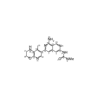 CNC(=O)Nc1cc2cc(-c3cnc4c(c3C)NCCO4)nc(N)c2cn1